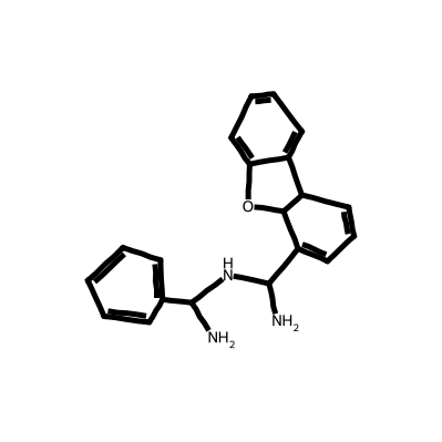 NC(NC(N)c1ccccc1)C1=CC=CC2c3ccccc3OC12